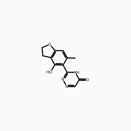 Cc1cc2c(c(O)c1-c1nncc(=O)[nH]1)CCO2